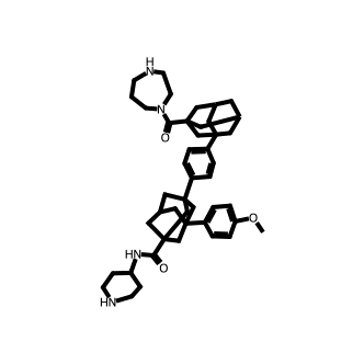 COc1ccc(C23CC4CC(C(=O)NC5CCNCC5)(C2)CC(c2ccc(C56CC7CC(CC(C(=O)N8CCCNCC8)(C7)C5)C6)cc2)(C4)C3)cc1